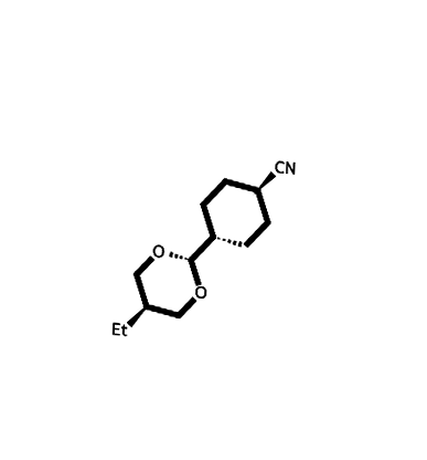 CC[C@H]1CO[C@H]([C@H]2CC[C@H](C#N)CC2)OC1